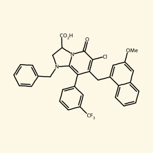 COc1cc(Cc2c(-c3cccc(C(F)(F)F)c3)c3n(c(=O)c2Cl)C(C(=O)O)CN3Cc2ccccc2)c2ccccc2c1